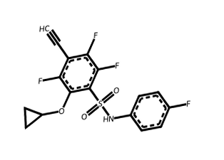 C#Cc1c(F)c(F)c(S(=O)(=O)Nc2ccc(F)cc2)c(OC2CC2)c1F